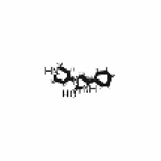 OC1NC(c2ccccc2)=CN1C1CCNCC1